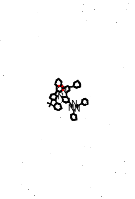 CC1(C)c2ccccc2-c2c1ccc1c3ccccc3n(-c3ccc(-c4nc(-c5ccccc5)nc(-c5ccccc5)n4)cc3-c3cc(-c4ccccc4)cc(-c4ccccc4)n3)c21